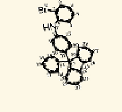 Brc1ccccc1Nc1ccc(C2(c3ccccc3)c3ccccc3-c3ccccc32)cc1